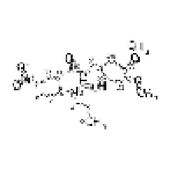 CCCN(CO)c1ccc([N+](=O)[O-])cc1C(=O)NCc1ccc(OC)c(OC)c1